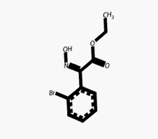 CCOC(=O)C(=NO)c1ccccc1Br